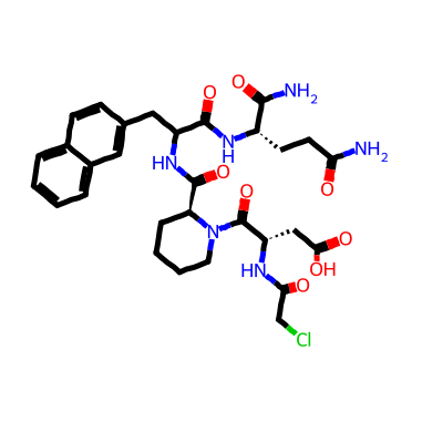 NC(=O)CC[C@H](NC(=O)C(Cc1ccc2ccccc2c1)NC(=O)[C@@H]1CCCCN1C(=O)[C@H](CC(=O)O)NC(=O)CCl)C(N)=O